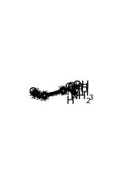 C[C@@H](N)[C@H](NC(=O)c1ccc(C#CC#Cc2ccc(CN3CCOCC3)cc2)cc1)C(=O)NO